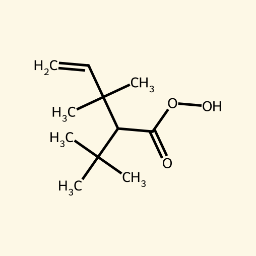 C=CC(C)(C)C(C(=O)OO)C(C)(C)C